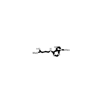 CCCCCC[n+]1c[nH]c2c(NCCCC(O)OC)ncnc21